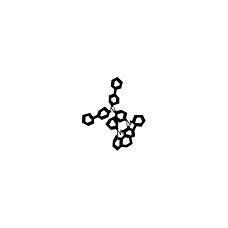 c1ccc(-c2ccc(N(c3ccc(-c4ccccc4)cc3)c3ccc(-n4c5ccccc5c5cc6c7c8c(cccc8n(-c8ccccc8)c7c54)CC6)cc3)cc2)cc1